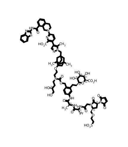 Cc1c(-c2ccc(N3CCc4cccc(C(=O)Nc5nc6ccccc6s5)c4C3)nc2C(=O)O)cnn1CC12CC3(C)CC(C)(C1)C(OCCN(CC[C@H](O)CO)C(=O)OCc1ccc(NC(=O)[C@H](C)NC(=O)[C@@H](NC(=O)CN4C(=O)[C@@H](N5C(=O)C=CC5=O)C[C@H]4COCCS(=O)(=O)O)C(C)C)cc1CC[C@@H]1O[C@H](C(=O)O)[C@@H](O)[C@H](O)[C@H]1O)(C3)C2